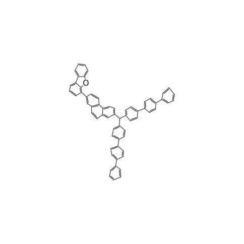 c1ccc(-c2ccc(-c3ccc(C(c4ccc(-c5ccc(-c6ccccc6)cc5)cc4)c4ccc5c(ccc6cc(-c7cccc8c7oc7ccccc78)ccc65)c4)cc3)cc2)cc1